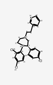 Clc1ccc([C@@H]2CN(CCc3cccnc3)CCN2c2ccc(Cl)cc2Cl)cc1